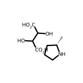 C[C@H]1CCCN1.O=C(O)C(O)C(O)C(=O)O